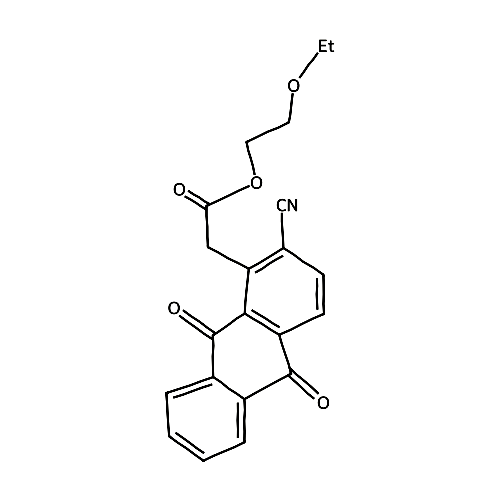 CCOCCOC(=O)Cc1c(C#N)ccc2c1C(=O)c1ccccc1C2=O